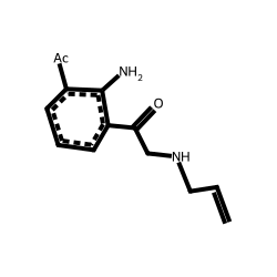 C=CCNCC(=O)c1cccc(C(C)=O)c1N